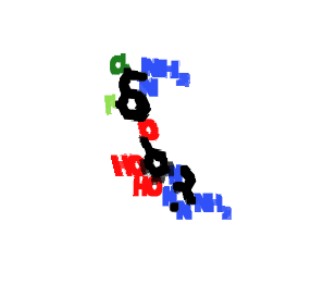 Nc1nc2cc(OCC3=C[C@@H](n4ccc5c(N)ncnc54)[C@H](O)[C@@H]3O)cc(F)c2cc1Cl